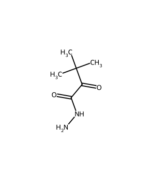 CC(C)(C)C(=O)C(=O)NN